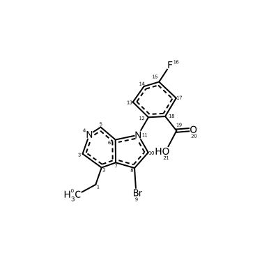 CCc1cncc2c1c(Br)cn2-c1ccc(F)cc1C(=O)O